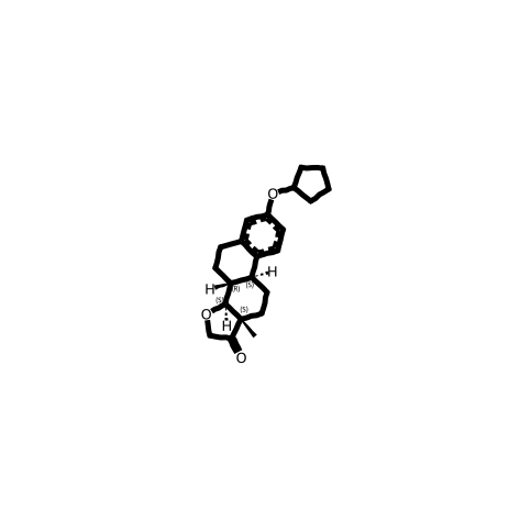 C[C@]12CC[C@@H]3c4ccc(OC5CCCC5)cc4CC[C@H]3[C@@H]1OCC2=O